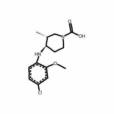 COc1cc(Cl)ccc1N[C@@H]1CCN(C(=O)O)C[C@H]1C